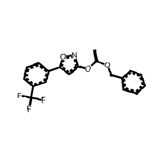 C=C(OCc1ccccc1)Oc1cc(-c2cccc(C(F)(F)F)c2)on1